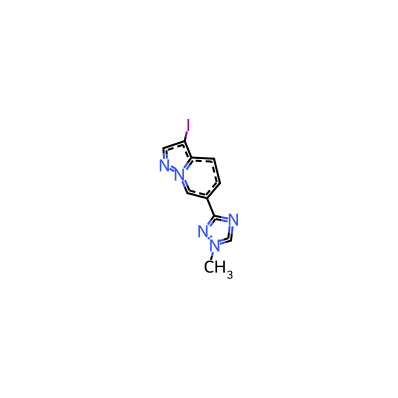 Cn1cnc(-c2ccc3c(I)cnn3c2)n1